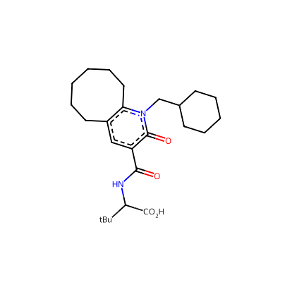 CC(C)(C)C(NC(=O)c1cc2c(n(CC3CCCCC3)c1=O)CCCCCC2)C(=O)O